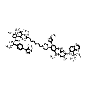 COc1cc(N2CCN(CCCCCCC(=O)N[C@H](C(=O)N3C[C@H](O)C[C@H]3C(=O)N[C@@H](C)c3ccc(-c4scnc4C)cc3)C(C)(C)C)CC2)c(-c2cnn(C)c2)cc1Nc1ncc(Br)c(Nc2ccc3nccnc3c2P(C)(C)=O)n1